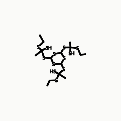 CCSC(C)(S)SC1SC(SC(C)(S)SCC)SC(SC(C)(S)SCC)S1